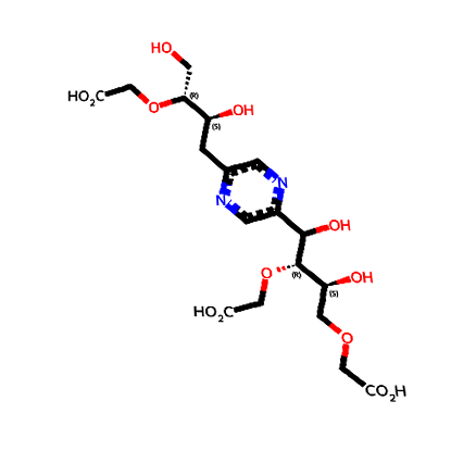 O=C(O)COC[C@H](O)[C@H](OCC(=O)O)C(O)c1cnc(C[C@H](O)[C@@H](CO)OCC(=O)O)cn1